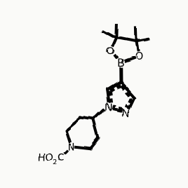 CC1(C)OB(c2cnn(C3CCN(C(=O)O)CC3)c2)OC1(C)C